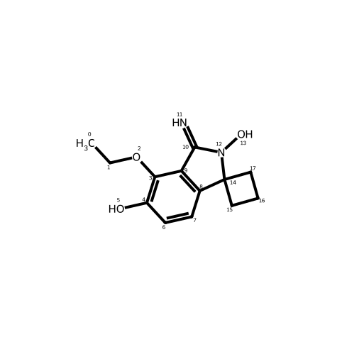 CCOc1c(O)ccc2c1C(=N)N(O)C21CCC1